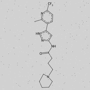 Cc1nc(C(F)(F)F)ccc1-c1cc(NC(=O)CCCN2CCCCC2)n[nH]1